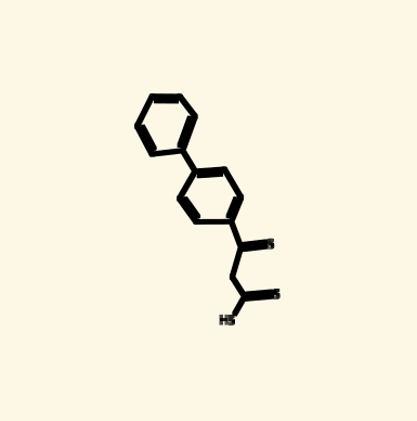 S=C(S)CC(=S)c1ccc(-c2ccccc2)cc1